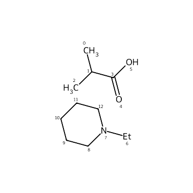 CC(C)C(=O)O.CCN1CCCCC1